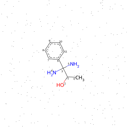 CC(O)C(N)(N)c1ccccc1